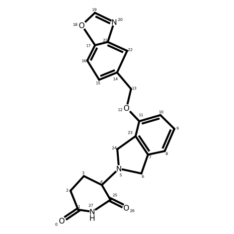 O=C1CCC(N2Cc3cccc(OCc4ccc5ocnc5c4)c3C2)C(=O)N1